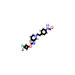 O=CNC1CCC(CCN2CCc3sc(OC4CC(F)(F)C4)nc3C2)CC1